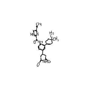 C#Cc1c[nH]c(C(=O)Nc2ccc(C3CC(=O)NC(=O)C3)cc2C2=CCC(C)(C)CC2)n1